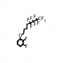 Fc1cccc(OCCCCC(F)(F)C(F)(F)C(F)(F)C(F)(F)F)c1F